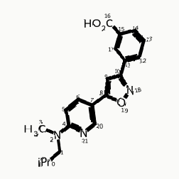 CC(C)CN(C)c1ccc(-c2cc(-c3cccc(C(=O)O)c3)no2)cn1